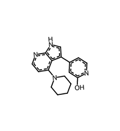 Oc1cc(-c2c[nH]c3nccc(N4CCCCC4)c23)ccn1